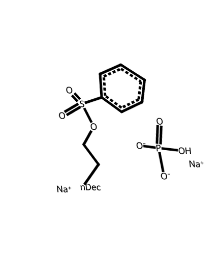 CCCCCCCCCCCCOS(=O)(=O)c1ccccc1.O=P([O-])([O-])O.[Na+].[Na+]